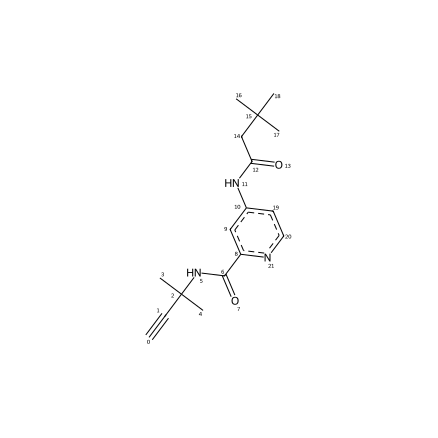 C#CC(C)(C)NC(=O)c1cc(NC(=O)CC(C)(C)C)ccn1